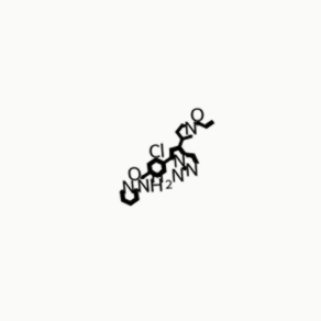 C=CC(=O)N1CCC(c2cc(-c3ccc(C(=O)Nc4ccccn4)cc3Cl)n3c(N)nccc23)C1